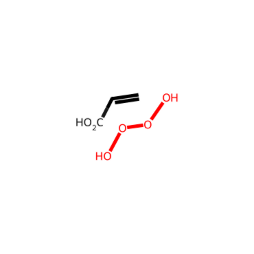 C=CC(=O)O.OOOO